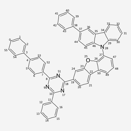 c1ccc(-c2ccc(-c3nc(-c4ccccc4)nc(-c4ccc5c(c4)oc4c(-n6c7ccccc7c7cc(-c8ccccc8)ccc76)cccc45)n3)cc2)cc1